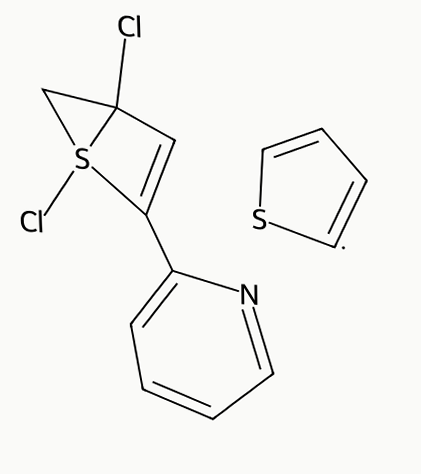 ClC12C=C(c3ccccn3)S1(Cl)C2.[c]1cccs1